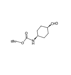 CC(C)(C)OC(=O)N[C@H]1CC[C@@H](C=O)CC1